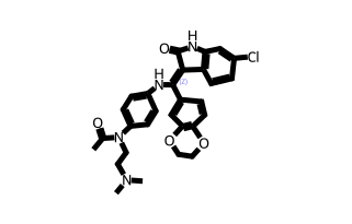 CC(=O)N(CCN(C)C)c1ccc(N/C(=C2\C(=O)Nc3cc(Cl)ccc32)c2ccc3c(c2)OCCO3)cc1